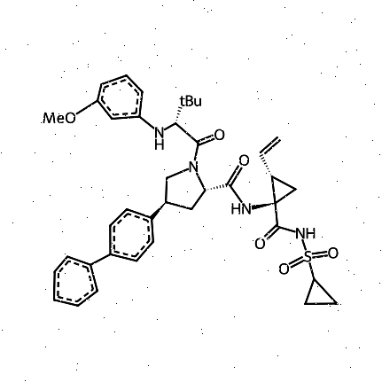 C=C[C@@H]1C[C@]1(NC(=O)[C@@H]1C[C@@H](c2ccc(-c3ccccc3)cc2)CN1C(=O)[C@H](Nc1cccc(OC)c1)C(C)(C)C)C(=O)NS(=O)(=O)C1CC1